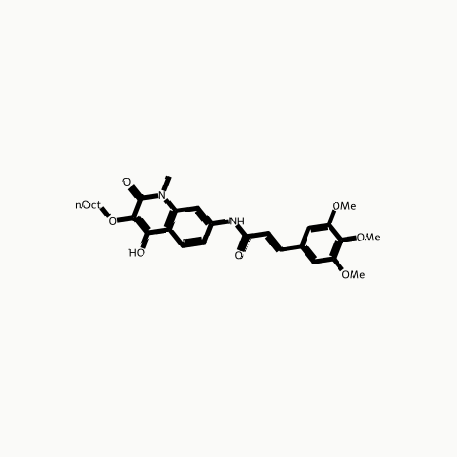 CCCCCCCCOc1c(O)c2ccc(NC(=O)C=Cc3cc(OC)c(OC)c(OC)c3)cc2n(C)c1=O